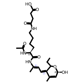 CCC1O[C@@H](O)C=C(C)/C1=C/C=C(\C)NC(=O)[C@H](CCCCNC(=O)CCC(=O)O)NC(C)=O